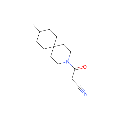 CC1CCC2(CC1)CCN(C(=O)CC#N)CC2